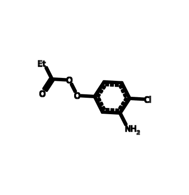 CCC(=O)OOc1ccc(Cl)c(N)c1